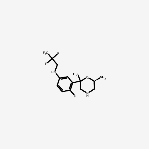 CC1(c2cc(NCC(F)(F)C(F)(F)F)ccc2F)CNC[C@H](N)O1